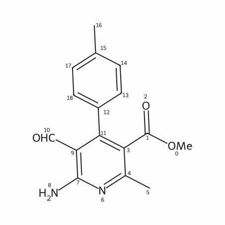 COC(=O)c1c(C)nc(N)c(C=O)c1-c1ccc(C)cc1